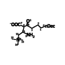 CCCCCCCCCCCCCC(=O)C(C(=O)[O-])C(N)C[N+](C)(C)C